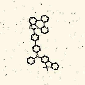 CC1(C)c2ccccc2-c2ccc(N(c3ccccc3)c3ccc(-c4ccc(-c5nc6cccc7c6n5-c5ccccc5-c5ccccc5-7)cc4)cc3)cc21